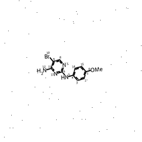 COc1ccc(Nc2ncc(Br)c(N)n2)cc1